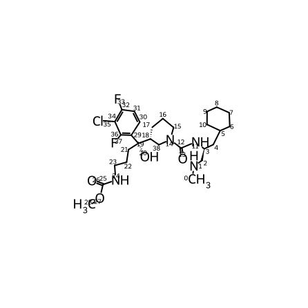 CNC[C@H](CC1CCCCC1)NC(=O)N1CCC[C@@H]([C@@](O)(CCCNC(=O)OC)c2ccc(F)c(Cl)c2F)C1